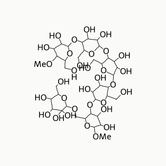 COC1OC(COC2OC(CO)C(O)C(O)C2(O)O)C(OC2OC(CO)C(OC3OC(CO)C(OC4OC(CO)C(OC5OC(CO)C(OC)C(O)C5O)C(O)C4O)C(O)C3O)C(O)C2O)C(O)C1O